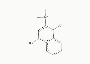 C[N+](C)(C)c1cc(O)c2ccccc2c1Cl